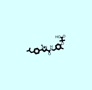 Cc1cc(CNC(=O)c2cc(-c3ccc(CC(C)C)cc3)n(C)n2)ccc1OC(C)(C)C(=O)O